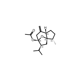 C=C1C[C@]2(OC(C)=O)O[C@@]3(C[C@H]2C(C)C)[C@@H](C)CC[C@@H]13